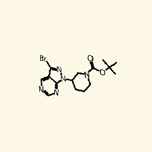 CC(C)(C)OC(=O)N1CCCC(n2nc(Br)c3cncnc32)C1